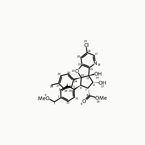 COCc1ccc([C@@H]2[C@@H](C(=O)OC)[C@@H](O)[C@@]3(O)c4ncc(Cl)cc4O[C@@]23c2ccc(C)cc2)cc1